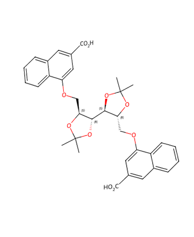 CC1(C)O[C@@H]([C@H]2OC(C)(C)O[C@@H]2COc2cc(C(=O)O)cc3ccccc23)[C@H](COc2cc(C(=O)O)cc3ccccc23)O1